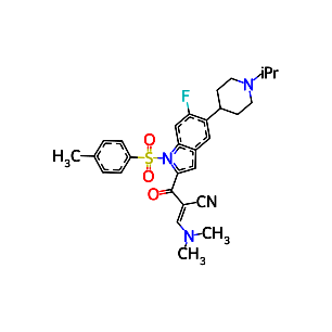 Cc1ccc(S(=O)(=O)n2c(C(=O)C(C#N)=CN(C)C)cc3cc(C4CCN(C(C)C)CC4)c(F)cc32)cc1